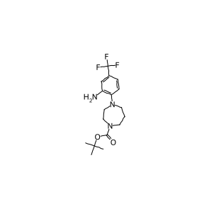 CC(C)(C)OC(=O)N1CCCN(c2ccc(C(F)(F)F)cc2N)CC1